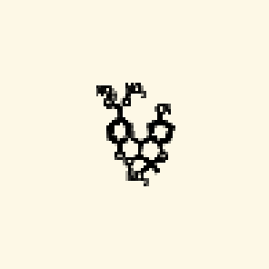 CC1(C)Oc2ccc(C#N)cc2C(n2cc(C(O[N+](=O)[O-])O[N+](=O)[O-])ccc2=O)C1O[N+](=O)[O-]